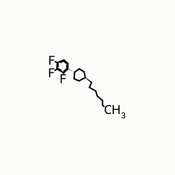 CCCCCCC[C@H]1CC[C@H](c2ccc(F)c(F)c2F)CC1